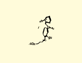 CCCCCCCCCCCCCCOc1ccc(N(Cc2cccc[n+]2CCC)C(C)=O)cc1C(C)(C)C.[I-]